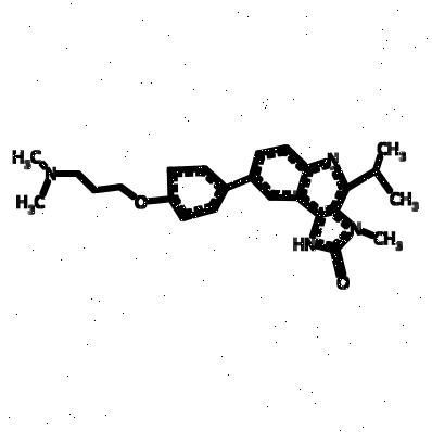 CC(C)c1nc2ccc(-c3ccc(OCCCN(C)C)cc3)cc2c2[nH]c(=O)n(C)c12